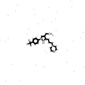 CCC1=CN(c2ccc(C(F)(F)F)cc2)NC1CCCN1CCOCC1